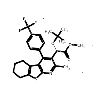 COC(=O)[C@@H](OC(C)(C)C)c1c(C)nc2sc3c(c2c1-c1ccc(C(F)(F)F)cc1)CCCC3